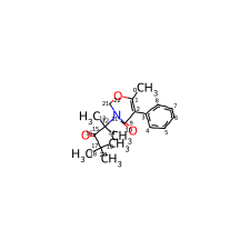 CC1=C(c2ccccc2)C(=O)N(C(C)(C)C(=O)C(C)(C)C)CO1